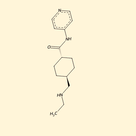 CCNC[C@H]1CC[C@H](C(=O)Nc2ccncc2)CC1